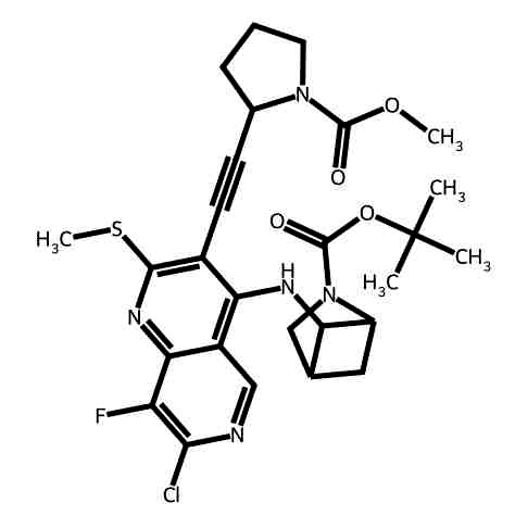 COC(=O)N1CCCC1C#Cc1c(SC)nc2c(F)c(Cl)ncc2c1NC1C2CC1N(C(=O)OC(C)(C)C)C2